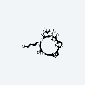 CC(C)[C@@H]1NC(=O)[C@]2(C)CSC(=N2)c2csc(n2)CNC(=O)C[C@@H](/C=C/CCCl)OC1=O